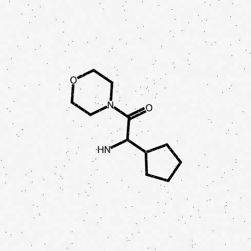 [NH]C(C(=O)N1CCOCC1)C1CCCC1